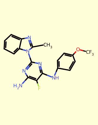 Cc1nc2ccccc2n1-c1nc(N)c(F)c(Nc2ccc(OC(F)(F)F)cc2)n1